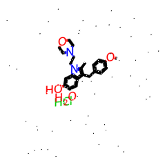 COc1ccc(Cc2c(C)n(CCN3CCOCC3)c3cc(O)ccc23)cc1.Cl.O